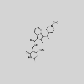 COc1cc(C)[nH]c(=O)c1CNC(=O)c1c(C)c(C(C)C2CCN(C=O)CC2)n2ncccc12